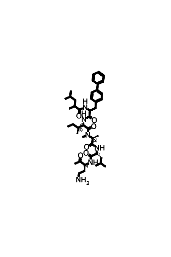 CC[C@H](C)[C@H](NC(=O)C(Cc1ccc(-c2ccccc2)cc1)NC(=O)C(C)CC(C)C)C(=O)N(C)[C@@H](C)C(=O)N[C@H](CC(C)C)C(=O)N[C@@H](CCN)C(C)=O